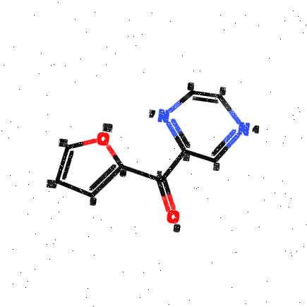 O=C(c1cnccn1)c1ccco1